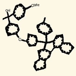 COc1ccc(C(C)(O)c2ccc(Oc3ccc(C4(c5ccc(C)cc5)c5cc6ccccc6cc5-c5c4ccc4ccccc54)cc3)cc2)cc1